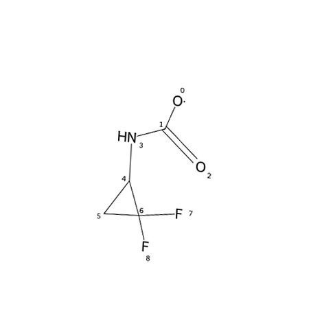 [O]C(=O)NC1CC1(F)F